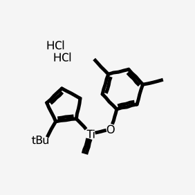 Cl.Cl.[CH2]=[Ti]([O]c1cc(C)cc(C)c1)[C]1=C(C(C)(C)C)C=CC1